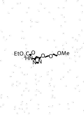 CCOC(=O)C(=O)Nc1cc(OCCOCCOC)ncn1